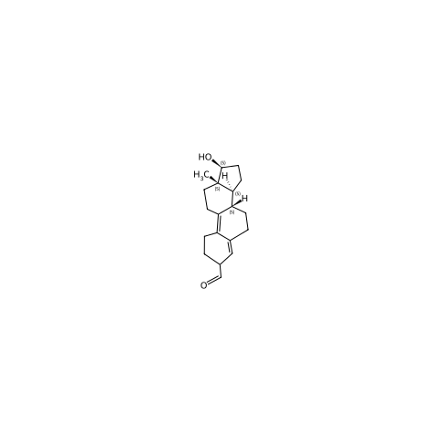 C[C@]12CCC3=C4CCC(C=O)C=C4CC[C@H]3[C@@H]1CC[C@@H]2O